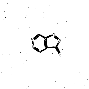 O=C1N=Nc2cnnnc21